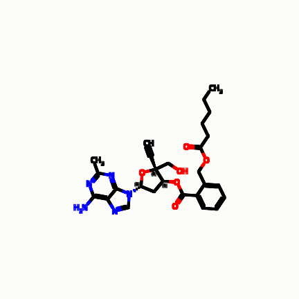 C#C[C@]1(CO)O[C@@H](n2cnc3c(N)nc(C)nc32)C[C@@H]1OC(=O)c1ccccc1COC(=O)CCCCC